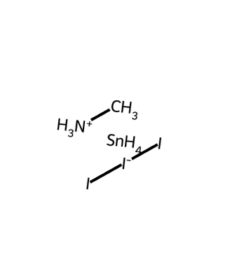 C[NH3+].I[I-]I.[SnH4]